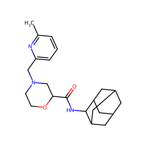 Cc1cccc(CN2CCOC(C(=O)NC3C4CC5CC(C4)CC3C5)C2)n1